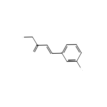 CC(C)CC(=O)C=Cc1cccc([N+](=O)[O-])c1